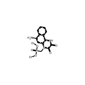 CCOP(=O)(Cn1c(=O)c(=O)[nH]c2c3ccccc3c(N)cc21)OCC